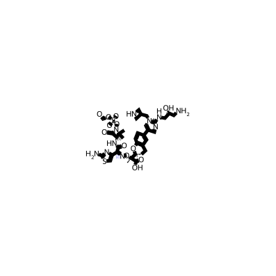 CC1(C)[C@H](NC(=O)/C(=N\O[C@](C)(C(=O)O)[C@H]2CCc3cc(-c4cnc(NC[C@@H](O)CN)[n+](CC5CNC5)c4)ccc3O2)c2csc(N)n2)C(=O)N1OS(=O)(=O)OC=O